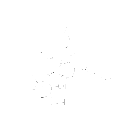 CCCCOC1C(OCCCC)[C@H](OCCCC)CO[C@H]1O[C@@H](C(C)C)C(O)C(I)[C@@H](C)I